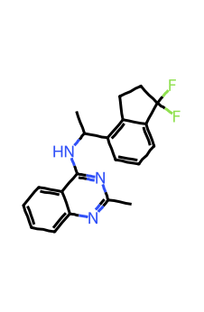 Cc1nc(NC(C)c2cccc3c2CCC3(F)F)c2ccccc2n1